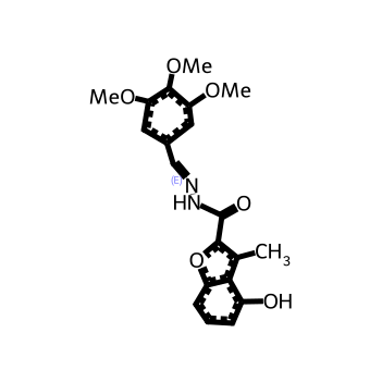 COc1cc(/C=N/NC(=O)c2oc3cccc(O)c3c2C)cc(OC)c1OC